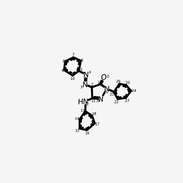 O=C1C(N=Nc2ccccc2)C(Nc2ccccc2)=NN1c1ccccc1